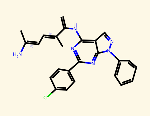 C=C(Nc1nc(-c2ccc(Cl)cc2)nc2c1cnn2-c1ccccc1)/C(C)=C/C=C(\C)N